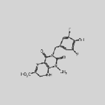 Cn1c2c(c(=O)n(Cc3cc(F)c(O)c(F)c3)c1=O)N=C(C(=O)O)CN2